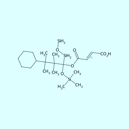 CC(C)(C1CCCCC1)C(C)(C)C(OC(=O)/C=C/C(=O)O)(O[Si](C)(C)C)[SiH2]O[SiH3]